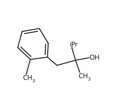 Cc1ccccc1CC(C)(O)C(C)C